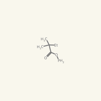 CCC(C)(C)C(=O)OP